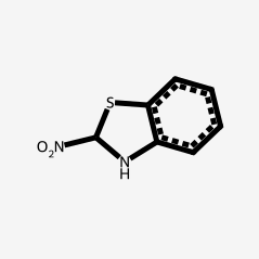 O=[N+]([O-])C1Nc2ccccc2S1